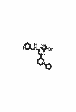 Brc1cnn2c(NCc3cccnc3)cc(C3CCCN(C4CCCC4)C3)nc12